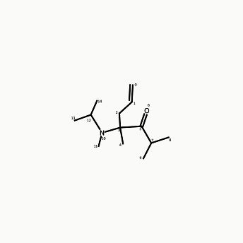 C=CCC(C)(C(=O)C(C)C)N(C)C(C)C